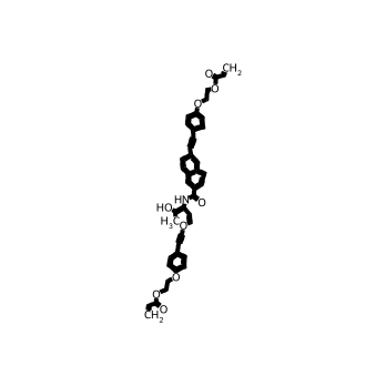 C=CC(=O)OCCOc1ccc(C#CO/C=C\C(NC(=O)c2ccc3cc(C#Cc4ccc(OCCOC(=O)C=C)cc4)ccc3c2)=C(/C)O)cc1